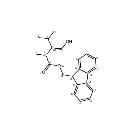 CC(C)[C@@H](CO)N(C)C(=O)OCC1c2ccccc2-c2ccccc21